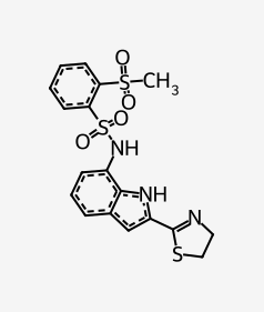 CS(=O)(=O)c1ccccc1S(=O)(=O)Nc1cccc2cc(C3=NCCS3)[nH]c12